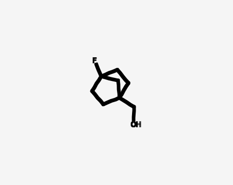 OCC12CCC(F)(CC1)C2